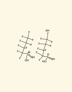 N=S(=O)(O)C(F)(F)C(F)(F)C(F)(F)C(F)(F)F.N=S(=O)(O)C(F)(F)C(F)(F)C(F)(F)C(F)(F)F.[KH]